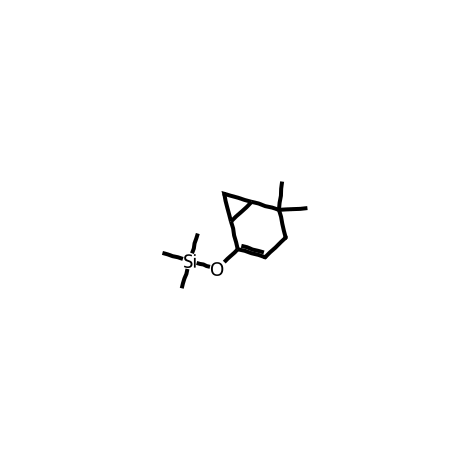 CC1(C)CC=C(O[Si](C)(C)C)C2CC21